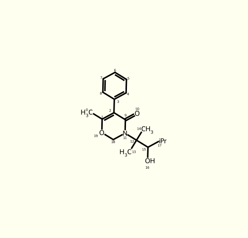 CC1=C(c2ccccc2)C(=O)N(C(C)(C)C(O)C(C)C)CO1